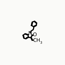 CC=C1C(=O)N(CCc2ccccc2)c2ccccc21